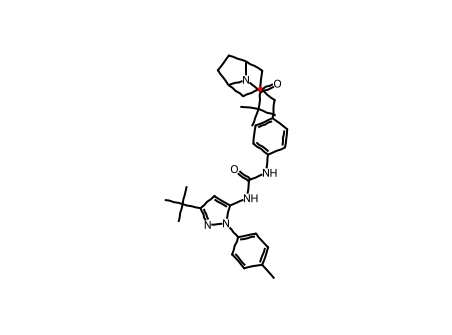 Cc1ccc(-n2nc(C(C)(C)C)cc2NC(=O)Nc2ccc(CC3CC4CCC(C3)N4C(=O)C(C)(C)C)cc2)cc1